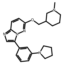 CN1CCCC(COc2ccc3ncc(-c4cccc(N5CCCC5)c4)n3n2)C1